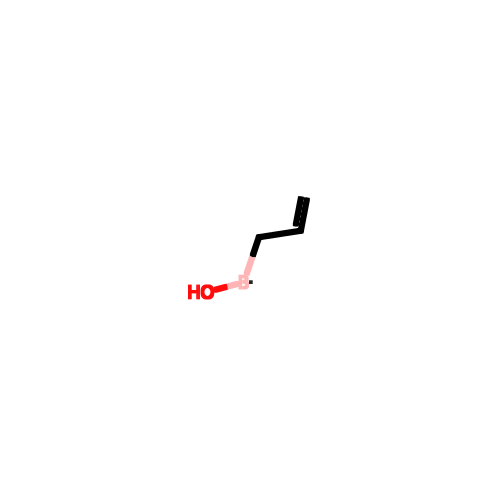 C=CC[B]O